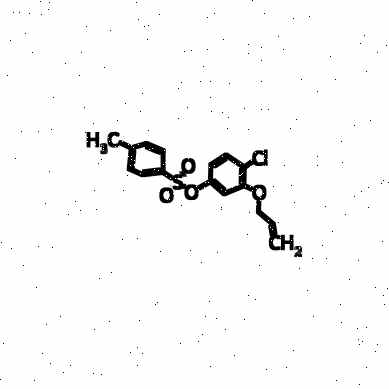 C=CCOc1cc(OS(=O)(=O)c2ccc(C)cc2)ccc1Cl